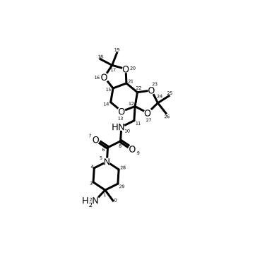 CC1(N)CCN(C(=O)C(=O)NCC23OCC4OC(C)(C)OC4C2OC(C)(C)O3)CC1